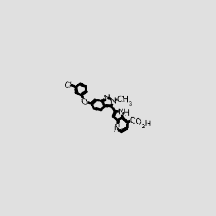 Cn1nc2cc(Oc3cccc(Cl)c3)ccc2c1-c1cc2nccc(C(=O)O)c2[nH]1